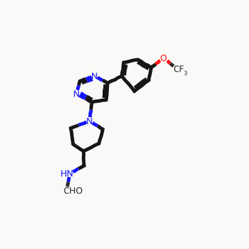 O=CNCC1CCN(c2cc(-c3ccc(OC(F)(F)F)cc3)ncn2)CC1